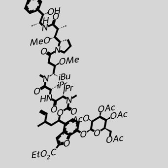 C=CC(C)CC(OC(=O)N(C)[C@H](C(=O)N[C@H](C(=O)N(C)[C@@H]([C@@H](C)CC)[C@@H](CC(=O)N1CCC[C@H]1[C@H](OC)[C@@H](C)C(=O)N[C@H](C)[C@@H](O)c1ccccc1)OC)C(C)C)C(C)C)c1ccc(O[C@@H]2O[C@H](COC(C)=O)[C@H](OC(C)=O)[C@H](OC(C)=O)[C@H]2OC(C)=O)c2oc(C(=O)OCC)cc12